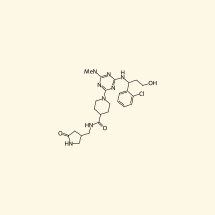 CNc1nc(NC(CCO)c2ccccc2Cl)nc(N2CCC(C(=O)NCC3CNC(=O)C3)CC2)n1